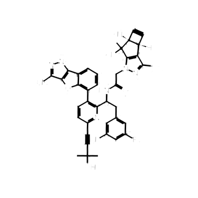 CC(C)(O)C#Cc1ccc(-c2cccc3c2oc2c(Cl)n[nH]c23)c(C(Cc2cc(F)cc(F)c2)NC(=O)Cn2nc(C(F)(F)F)c3c2C(F)(F)[C@@H]2C#C[C@H]32)n1